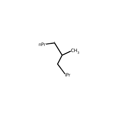 CCC[CH]C(C)CC(C)C